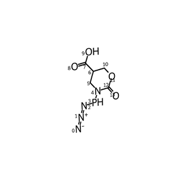 [N-]=[N+]=NPN1CC(C(=O)O)COC1=O